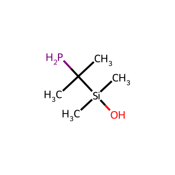 CC(C)(P)[Si](C)(C)O